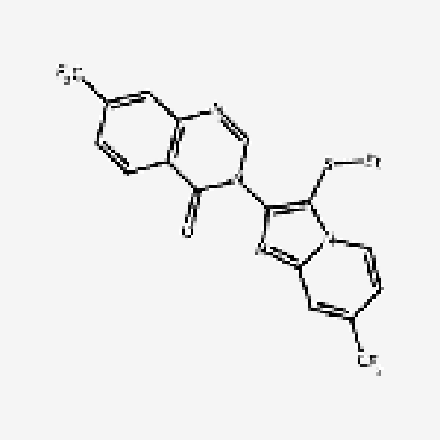 CCSc1c(-n2cnc3cc(C(F)(F)F)ccc3c2=O)nc2cc(C(F)(F)F)ccn12